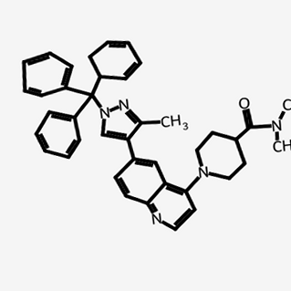 Cc1nn(C(c2ccccc2)(c2ccccc2)C2C=CC=CC2)cc1-c1ccc2nccc(N3CCC(C(=O)N(C)C)CC3)c2c1